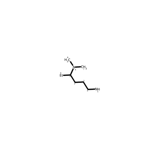 [CH2]CC(CCC[NH])N(C)C